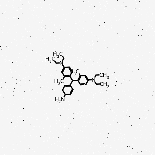 CCN(CC)c1ccc(C(C2=CCC(N)C=C2)c2ccc(N(CC)CC)cc2C)c(C)c1